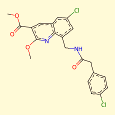 COC(=O)c1cc2cc(Cl)cc(CNC(=O)Cc3ccc(Cl)cc3)c2nc1OC